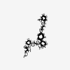 COCCC(=O)Nc1ccccc1OCCOC1CNCCC1c1ccc(OCCCOCc2ccccc2OC)cc1